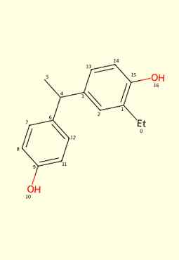 CCc1cc(C(C)c2ccc(O)cc2)ccc1O